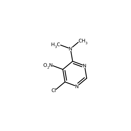 CN(C)c1ncnc(Cl)c1[N+](=O)[O-]